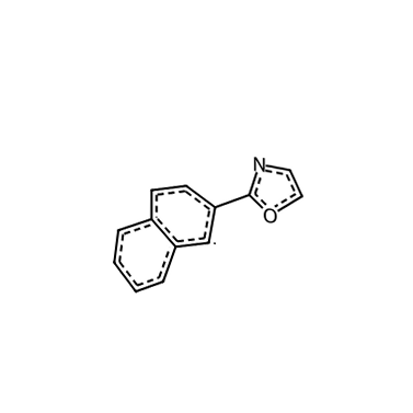 [c]1c(-c2ncco2)ccc2ccccc12